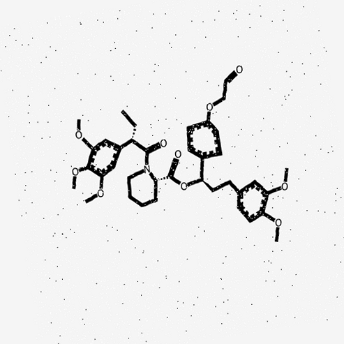 CC[C@H](C(=O)N1CCCC[C@H]1C(=O)O[C@H](CCc1ccc(OC)c(OC)c1)c1ccc(OCC=O)cc1)c1cc(OC)c(OC)c(OC)c1